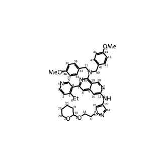 CCc1ccncc1-c1cc2cc(Nc3cnn(CCOC4CCCCO4)c3)ncc2c(N(Cc2ccc(OC)cc2)Cc2ccc(OC)cc2)n1